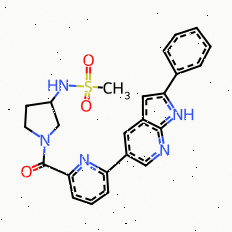 CS(=O)(=O)NC1CCN(C(=O)c2cccc(-c3cnc4[nH]c(-c5ccccc5)cc4c3)n2)C1